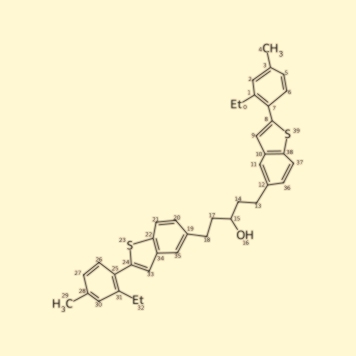 CCc1cc(C)ccc1-c1cc2cc(CCC(O)CCc3ccc4sc(-c5ccc(C)cc5CC)cc4c3)ccc2s1